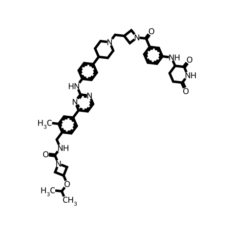 Cc1cc(-c2ccnc(Nc3ccc(C4CCN(CC5CN(C(=O)c6cccc(NC7CCC(=O)NC7=O)c6)C5)CC4)cc3)n2)ccc1CNC(=O)N1CC(OC(C)C)C1